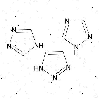 c1c[nH]nn1.c1nc[nH]n1.c1nnc[nH]1